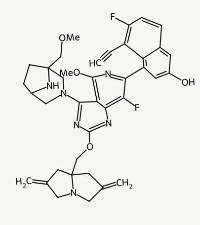 C#Cc1c(F)ccc2cc(O)cc(-c3nc(OC)c4c(N5CC6CCC(COC)(C5)N6)nc(OCC56CC(=C)CN5CC(=C)C6)nc4c3F)c12